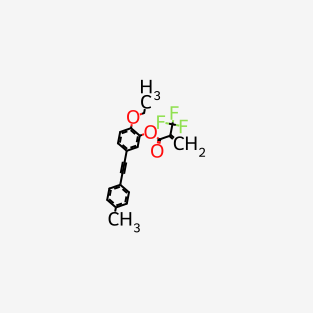 C=C(C(=O)Oc1cc(C#Cc2ccc(C)cc2)ccc1OCC)C(F)(F)F